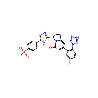 CS(=O)(=O)c1ccc(-c2cnc([C@@H]3CCc4cc(-c5cc(Cl)ccc5-n5cnnn5)cc(=O)n43)[nH]2)cc1